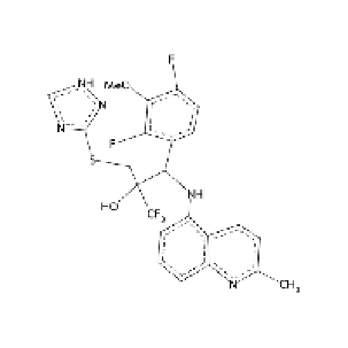 COc1c(F)ccc(C(Nc2cccc3nc(C)ccc23)C(O)(CSc2nc[nH]n2)C(F)(F)F)c1F